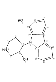 Cl.OC1CNCCC1n1c2ccccc2c2ccccc21